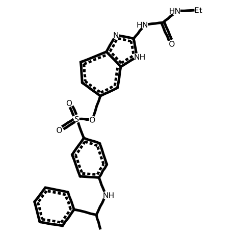 CCNC(=O)Nc1nc2ccc(OS(=O)(=O)c3ccc(NC(C)c4ccccc4)cc3)cc2[nH]1